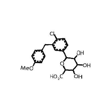 COc1ccc(Cc2cc(C3OC(C(=O)O)C(O)C(O)C3O)ccc2Cl)cc1